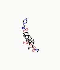 CC(C)[C@@H](OC(=O)N1CCC1)[C@H]1C[C@@H](C)[C@H]2[C@H](O1)[C@H](O)[C@@]1(C)[C@@H]3CC[C@H]4C(C)(C)[C@@H](OC(=O)NCCN5CCN(C)CC5)CC[C@@]45CC35CC[C@]21C